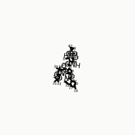 C=CC[C@@](C)(NC(=O)[C@@H]1C[C@@H](Oc2nccc3cc(C)ccc23)CN1C(=O)[C@@H](NC(=O)OC(C)(C)C)C(C)(C)C)C(=O)NS(=O)(=O)C1CC1